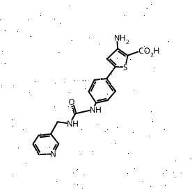 Nc1cc(-c2ccc(NC(=O)NCc3cccnc3)cc2)sc1C(=O)O